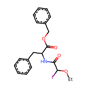 CCOC(I)C(=O)NC(Cc1ccccc1)C(=O)OCc1ccccc1